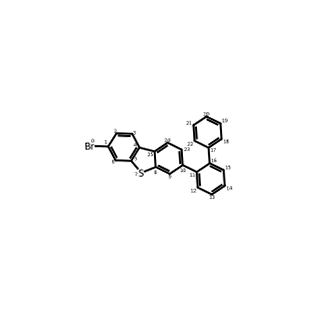 Brc1ccc2c(c1)sc1cc(-c3ccccc3-c3ccccc3)ccc12